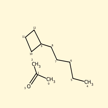 CC(C)=O.CCCCCC1CCC1